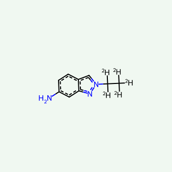 [2H]C([2H])([2H])C([2H])([2H])n1cc2ccc(N)cc2n1